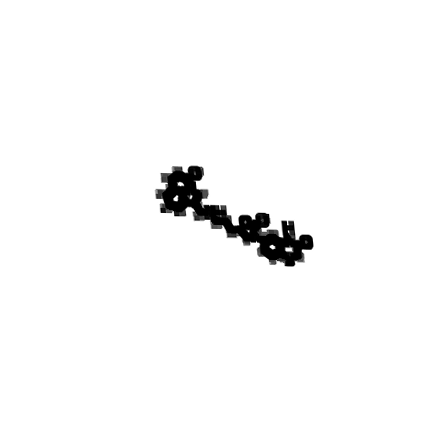 O=C1CSc2ccc(N3CC(CCCNCC4Cn5c(=O)ccc6cccc4c65)OC3=O)cc2N1